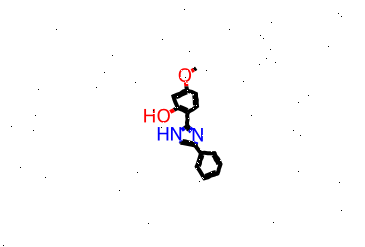 COc1ccc(-c2nc(-c3ccccc3)c[nH]2)c(O)c1